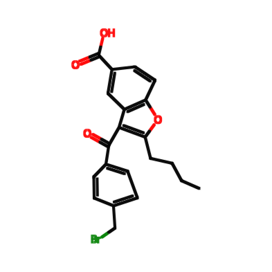 CCCCc1oc2ccc(C(=O)O)cc2c1C(=O)c1ccc(CBr)cc1